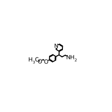 COCOc1ccc(C(CCN)c2cccnc2)cc1